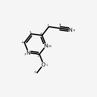 COc1nccc(CC#N)n1